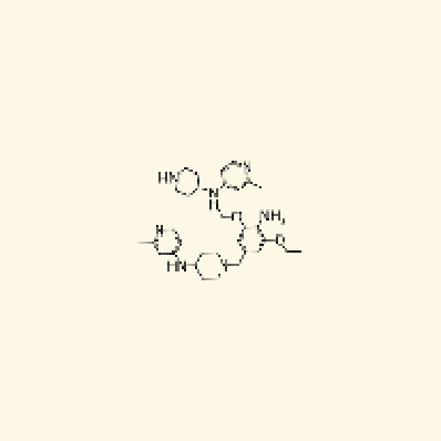 CCOc1cc(CN2CCC(Nc3ccnc(C)c3)CC2)cc(OCC)c1N.Cc1cc(NC2CCNCC2)ccn1